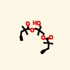 C#CCC(C)(C)C(=O)OCC(C)(CO)COC(=O)C(C)(C)CC#C